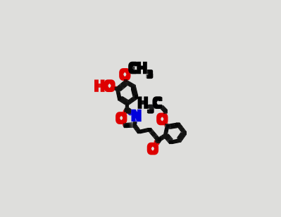 CCOc1ccccc1C(=O)CCc1coc(-c2ccc(OC)c(O)c2)n1